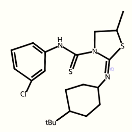 CC1CN(C(=S)Nc2cccc(Cl)c2)/C(=N\C2CCC(C(C)(C)C)CC2)S1